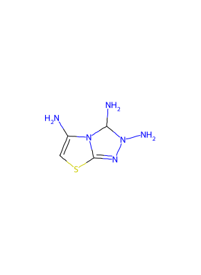 NC1=CSC2=NN(N)C(N)N12